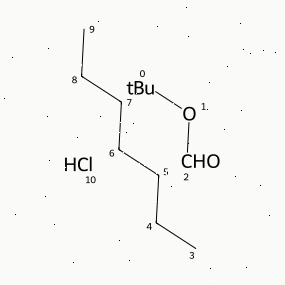 CC(C)(C)OC=O.CCCCCCC.Cl